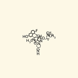 C#Cc1c(F)ccc2cc(O)cc(C3=Cc4nc(OCC5(CN(C)C)CC5)nc(N5CCC6(CC5)CNC6)c4[S+]([O-])N3C)c12